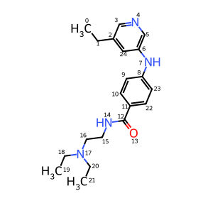 CCc1cncc(Nc2ccc(C(=O)NCCN(CC)CC)cc2)c1